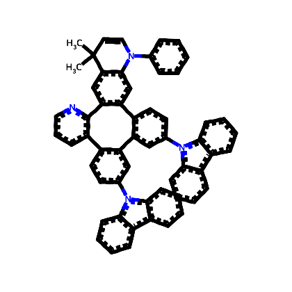 CC1(C)C=CN(c2ccccc2)c2cc3c(cc21)-c1ncccc1-c1ccc(-n2c4ccccc4c4ccccc42)cc1-c1cc(-n2c4ccccc4c4ccccc42)ccc1-3